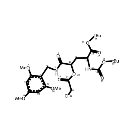 COc1cc(OC)c(CNC(=O)C(CC(NC(=O)OC(C)(C)C)C(=O)OC(C)(C)C)OC(=O)CCl)c(OC)c1